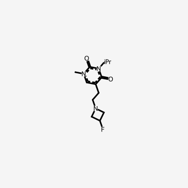 CC(C)n1c(=O)c(CCN2CC(F)C2)cn(C)c1=O